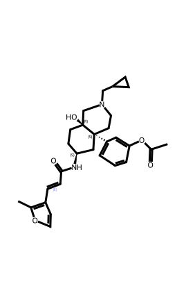 CC(=O)Oc1cccc([C@@]23CCN(CC4CC4)C[C@@]2(O)CC[C@H](NC(=O)/C=C/c2ccoc2C)C3)c1